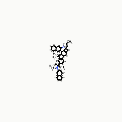 CCCC1(N(C)c2ccc3ccccc3c2)Cc2cc3c(cc21)C(C)(C)c1cc(C(C)(CC)N(C)c2ccc4ccccc4c2)ccc1-3